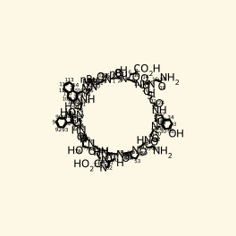 CCCC[C@H]1C(=O)N[C@@H](CCC(=O)O)C(=O)N[C@H](C(=O)NCC(N)=O)CSCC(=O)N[C@@H](Cc2ccc(O)cc2)C(=O)N(C)[C@@H](C)C(=O)N[C@@H](CC(N)=O)C(=O)N2CCC[C@H]2C(=O)N[C@@H](Cc2cnc[nH]2)C(=O)N[C@@H](CCC(=O)O)C(=O)N2C[C@H](O)C[C@H]2C(=O)N[C@@H](Cc2c[nH]c3ccccc23)C(=O)N[C@@H](CO)C(=O)N[C@@H](Cc2cccc3ccccc23)c2nnnn2[C@@H](CCCC)C(=O)N1C